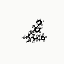 C=NN1C(NC)=CC(Nc2cccn(-c3ccccn3)c2=O)=N/C1=C(/C)C(=O)N[C@H]1CCC1(F)F